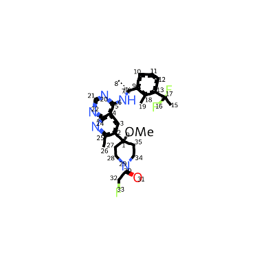 COC1(c2cc3c(N[C@H](C)c4cccc(C(C)(F)F)c4C)ncnc3nc2C)CCN(C(=O)CF)CC1